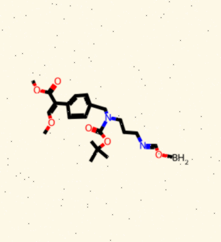 BOC=NCCCN(Cc1ccc(/C(=C\OC)C(=O)OC)cc1)C(=O)OC(C)(C)C